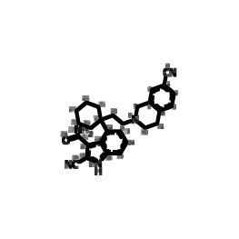 N#Cc1ccc2c(c1)CN(CCC1(c3cccc4[nH]c(C#N)c(C(N)=O)c34)CCCCC1)CC2